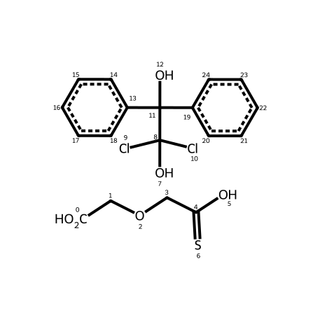 O=C(O)COCC(O)=S.OC(Cl)(Cl)C(O)(c1ccccc1)c1ccccc1